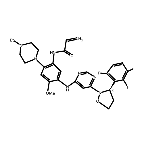 C=CC(=O)Nc1cc(Nc2cc(N3OCC[C@@H]3c3c(F)ccc(F)c3F)ncn2)c(OC)cc1N1CCN(CC)CC1